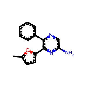 Cc1ccc(-c2nc(N)cnc2-c2ccccc2)o1